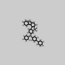 CC1(C)c2cc(N(c3ccccc3)c3ccc(-c4ccccc4)cc3)ccc2-c2c1ccc1sc3ccccc3c21